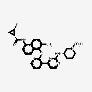 Cc1ccc2c(NC(=O)[C@@H]3C[C@H]3F)cccc2c1Oc1ncccc1-c1ccnc(N[C@H]2CCCN(C(=O)O)C2)n1